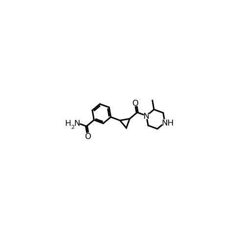 CC1CNCCN1C(=O)C1CC1c1cccc(C(N)=O)c1